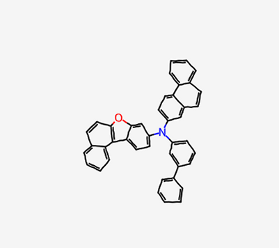 c1ccc(-c2cccc(N(c3ccc4c(ccc5ccccc54)c3)c3ccc4c(c3)oc3ccc5ccccc5c34)c2)cc1